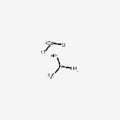 [CH2]CCN(C)C.[Cl][GaH][Cl]